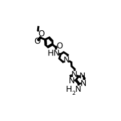 CCOC(=O)c1ccc(C(=O)NC2CCN(CCCn3cnc4c(N)ncnc43)CC2)cc1